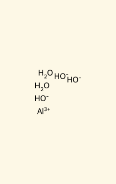 O.O.[Al+3].[OH-].[OH-].[OH-]